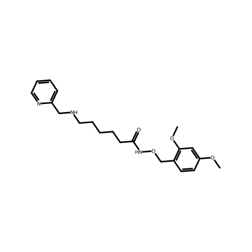 COc1ccc(CONC(=O)CCCCCNCc2ccccn2)c(OC)c1